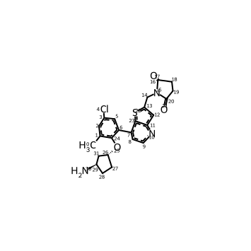 Cc1cc(Cl)cc(-c2ccnc3cc(CN4C(=O)CCC4=O)sc23)c1O[C@@H]1CC[C@@H](N)C1